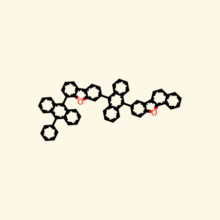 c1ccc(-c2c3ccccc3c(-c3cccc4c3oc3cc(-c5c6ccccc6c(-c6ccc7oc8c9ccccc9ccc8c7c6)c6ccccc56)ccc34)c3ccccc23)cc1